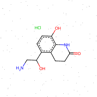 Cl.NCC(O)c1ccc(O)c2c1CCC(=O)N2